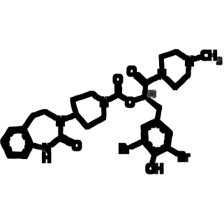 CN1CCN(C(=O)[C@@H](Cc2cc(Br)c(O)c(Br)c2)OC(=O)N2CCC(N3CCc4ccccc4NC3=O)CC2)CC1